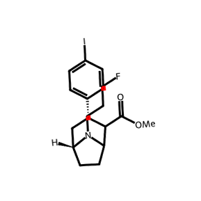 COC(=O)C1C2CC[C@H](C[C@@H]1c1ccc(I)cc1)N2CCCF